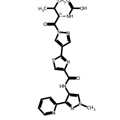 CC(C)[C@H](NC(=O)O)C(=O)n1cc(-c2nc(C(=O)Nc3cn(C)nc3-c3ccccn3)cs2)cn1